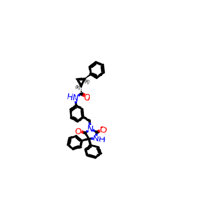 O=C(Nc1cccc(CN2C(=O)NC(c3ccccc3)(c3ccccc3)C2=O)c1)[C@@H]1C[C@H]1c1ccccc1